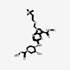 CCNC(=O)c1cn(COCC[Si](C)(C)C)c2ncc(N[C@@H]3CCN(C(=O)OC(C)(C)C)C[C@H]3O)nc12